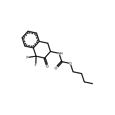 CCCCOC(=O)NC1Cc2ccccc2C(F)(F)C1=O